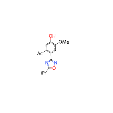 COc1cc(-c2noc(C(C)C)n2)c(C(C)=O)cc1O